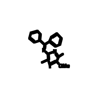 COc1c(C)nc(N=C(c2ccccc2)c2ccccc2)c(C)c1C